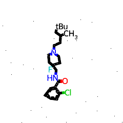 CC(CCN1CCC(F)(CNC(=O)c2ccccc2Cl)CC1)CC(C)(C)C